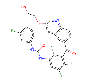 O=C(Nc1cccc(F)c1)Nc1cc(F)c(F)c(C(=O)c2ccc3ncc(OCCO)cc3c2)c1F